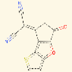 N#CC(C#N)=C1CC(=O)c2oc3ccsc3c21